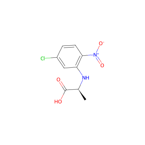 C[C@H](Nc1cc(Cl)ccc1[N+](=O)[O-])C(=O)O